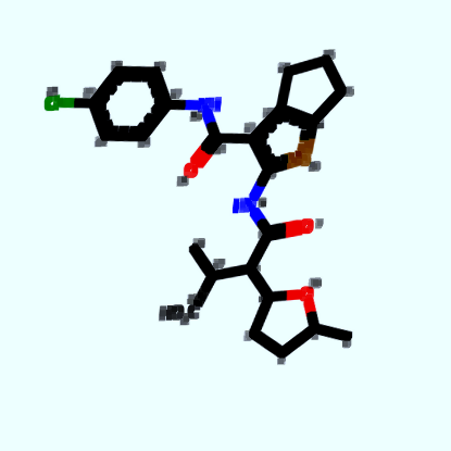 CC1CCC(C(C(=O)Nc2sc3c(c2C(=O)Nc2ccc(Cl)cc2)CCC3)C(C)C(=O)O)O1